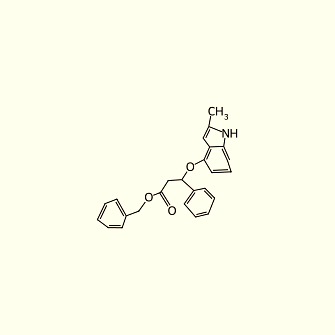 Cc1cc2c(OC(CC(=O)OCc3ccccc3)c3ccccc3)cccc2[nH]1